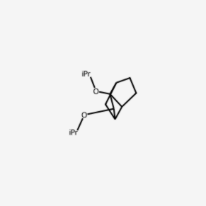 CC(C)OC1C2CC3CCC2C31OC(C)C